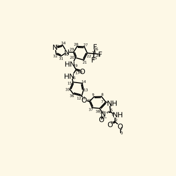 COC(=O)Nc1[nH]c2ccc(Oc3ccc(NC(=O)Nc4cc(C(F)(F)F)ccc4-n4ccnc4)cc3)cc2[n+]1[O-]